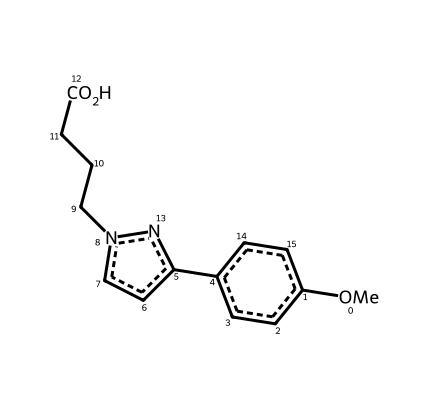 COc1ccc(-c2ccn(CCCC(=O)O)n2)cc1